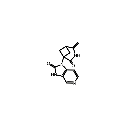 C=C1NC(=O)C2(n3c(=O)[nH]c4cnccc43)CC1C2